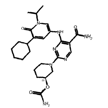 CC(C)n1cc(Nc2nc(N3CCC[C@H](OC(N)=O)C3)ncc2C(N)=O)cc(C2CCCCC2)c1=O